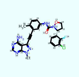 CCn1nc(C#Cc2cc(NC(=O)N3OCC[C@@H]3c3cccc(Cl)c3F)ccc2C)c2c(N)ncnc21